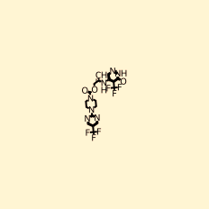 C[C@H](COC(=O)N1CCN(c2ncc(C(F)(F)F)cn2)CC1)Nc1cn[nH]c(=O)c1C(F)(F)F